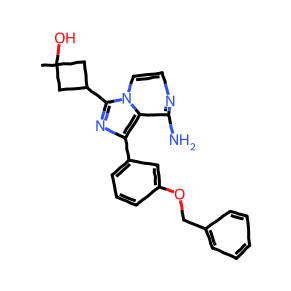 CC1(O)CC(c2nc(-c3cccc(OCc4ccccc4)c3)c3c(N)nccn23)C1